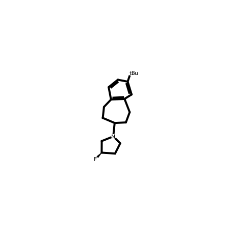 CC(C)(C)c1ccc2c(c1)CCC(N1CC[C@@H](F)C1)CC2